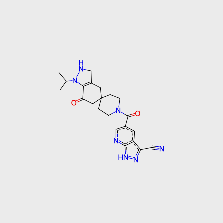 CC(C)N1NCC2=C1C(=O)CC1(CCN(C(=O)c3cnc4[nH]nc(C#N)c4c3)CC1)C2